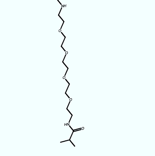 CNCCOCCOCCOCCOCCNC(=O)C(C)C